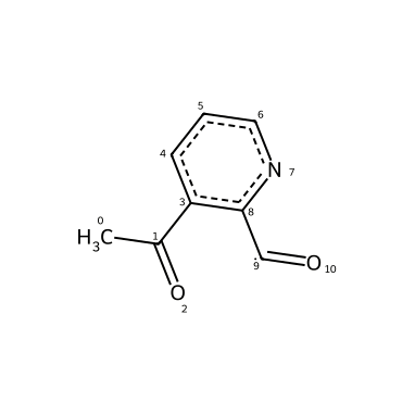 CC(=O)c1cccnc1[C]=O